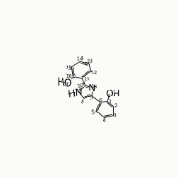 Oc1ccccc1-c1c[nH]c(-c2ccccc2O)n1